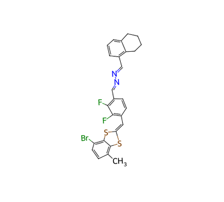 Cc1ccc(Br)c2c1S/C(=C/c1ccc(/C=N/N=C/c3cccc4c3CCCC4)c(F)c1F)S2